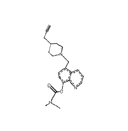 C#CCC1CCN(Cc2ccc(OC(=O)N(C)C)c3ncccc23)CC1